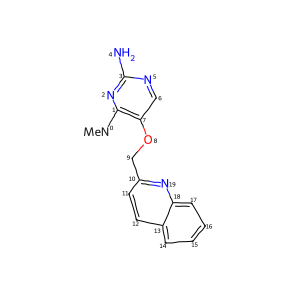 CNc1nc(N)ncc1OCc1ccc2ccccc2n1